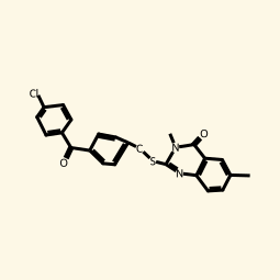 Cc1ccc2nc(SCc3ccc(C(=O)c4ccc(Cl)cc4)cc3)n(C)c(=O)c2c1